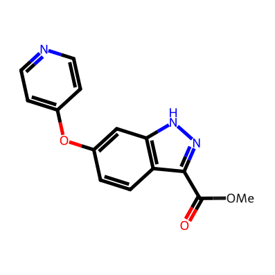 COC(=O)c1n[nH]c2cc(Oc3ccncc3)ccc12